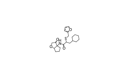 O=C(NC12CCCC1OCC2=O)C(CC1CCCCC1)SCc1ccco1